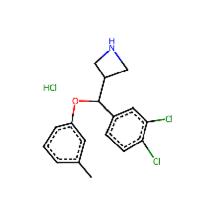 Cc1cccc(OC(c2ccc(Cl)c(Cl)c2)C2CNC2)c1.Cl